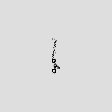 OCCOCCOCCOCCOc1ccc(-n2cc(Br)c(-c3ccncc3)n2)cc1